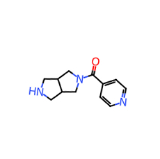 O=C(c1ccncc1)N1CC2CNCC2C1